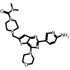 CN(C)C(=O)N1CCN(Cc2cc3nc(-c4ccc(N)nc4)nc(N4CCOCC4)c3s2)CC1